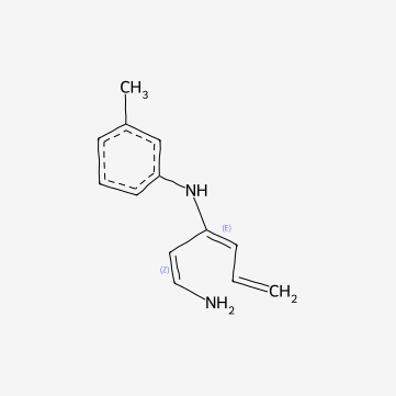 C=C/C=C(\C=C/N)Nc1cccc(C)c1